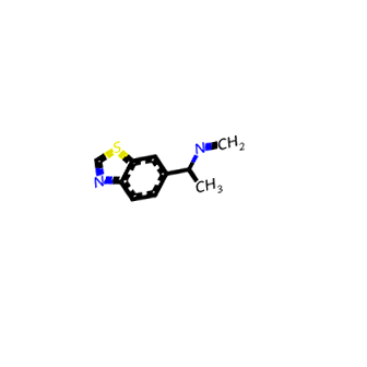 C=NC(C)c1ccc2ncsc2c1